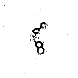 O=S(=O)(Nc1ccc2c(c1)CNCC2)c1ccc(-c2ccno2)s1